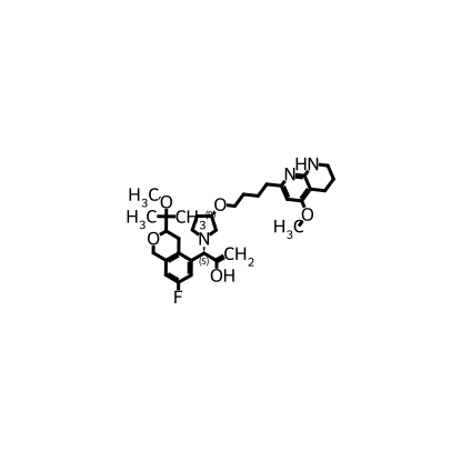 C=C(O)[C@H](c1cc(F)cc2c1CC(C(C)(C)OC)OC2)N1CC[C@@H](OCCCCc2cc(OC)c3c(n2)NCCC3)C1